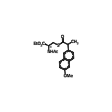 CCOC(=O)[C@@H](CSC(=O)C(C)c1ccc2cc(OC)ccc2c1)NC(C)=O